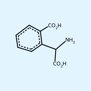 NC(C(=O)O)c1ccccc1C(=O)O